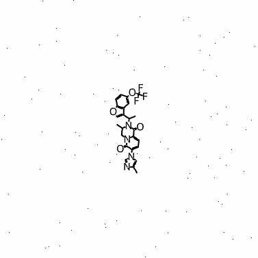 Cc1cn(-c2ccc3n(c2=O)CC(C)N(C(C)c2coc4ccc(OC(F)(F)F)cc24)C3=O)cn1